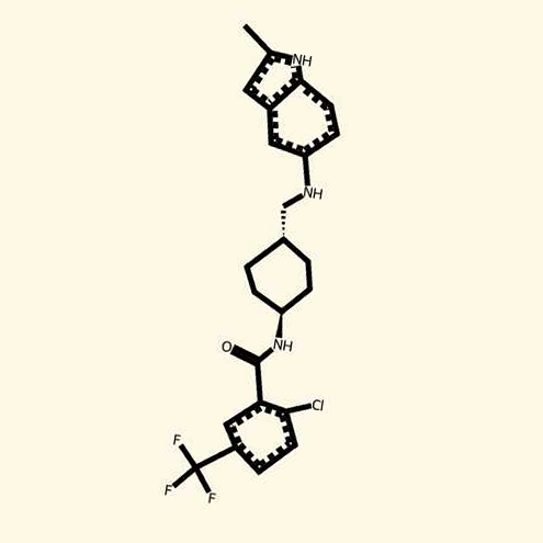 Cc1cc2cc(NC[C@H]3CC[C@H](NC(=O)c4cc(C(F)(F)F)ccc4Cl)CC3)ccc2[nH]1